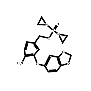 O=[N+]([O-])c1ccc(COP(=O)(N2CC2)N2CC2)cc1Oc1ccc2c(c1)OCO2